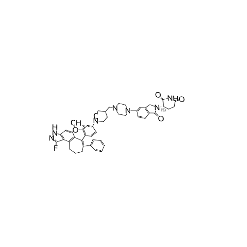 COc1cc(N2CCC(CN3CCN(c4ccc5c(c4)CN([C@H]4CCC(=O)NC4=O)C5=O)CC3)CC2)ccc1C1=C(c2ccccc2)CCCc2c1ccc1[nH]nc(F)c21